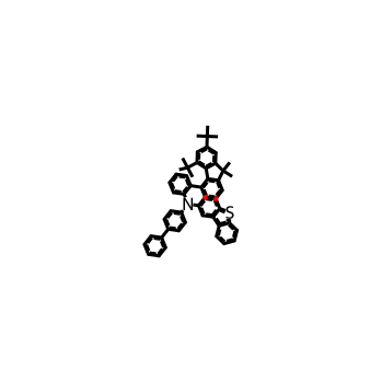 CC(C)(C)c1cc(C(C)(C)C)c2c(c1)C(C)(C)c1cccc(-c3ccccc3N(c3ccc(-c4ccccc4)cc3)c3ccc4sc5ccccc5c4c3)c1-2